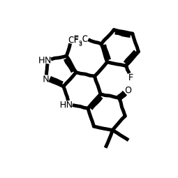 CC1(C)CC(=O)C2=C(C1)Nc1n[nH]c(C(F)(F)F)c1C2c1c(F)cccc1C(F)(F)F